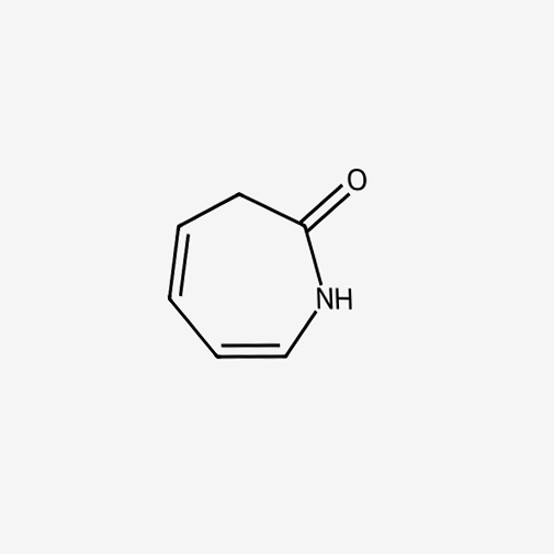 O=C1CC=CC=CN1